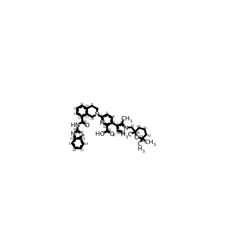 Cc1c(-c2ccc(N3CCc4cccc(C(=O)Nc5nc6ccccc6s5)c4C3)nc2C(=O)O)cnn1CC1(C)CCCC(C)(C)O1